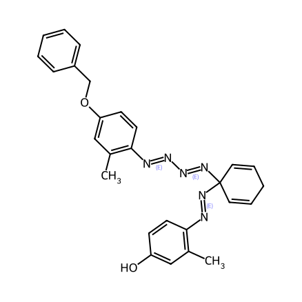 Cc1cc(OCc2ccccc2)ccc1/N=N/N=N/C1(/N=N/c2ccc(O)cc2C)C=CCC=C1